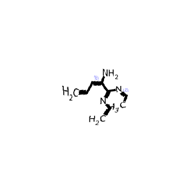 C=C/C=C(/N)C(=NC=C)/N=C\C